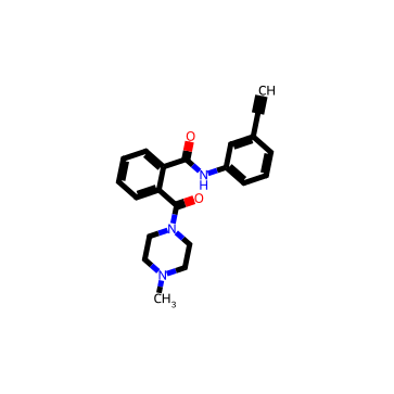 C#Cc1cccc(NC(=O)c2ccccc2C(=O)N2CCN(C)CC2)c1